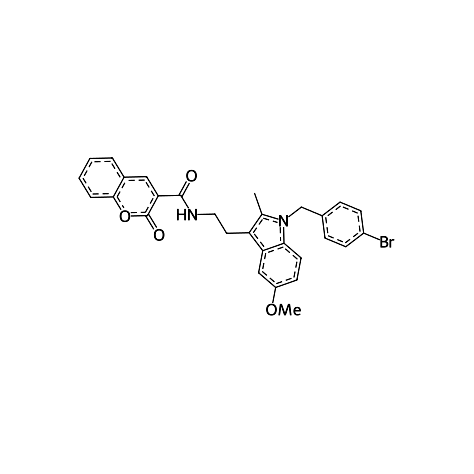 COc1ccc2c(c1)c(CCNC(=O)c1cc3ccccc3oc1=O)c(C)n2Cc1ccc(Br)cc1